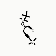 CC(C)(C)[Si](C)(C)O[C@@H](C=O)CC#C[Si](C)(C)C